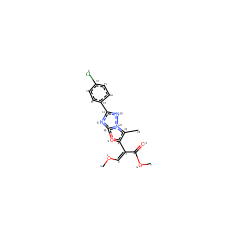 CO/C=C(/C(=O)OC)c1oc2nc(-c3ccc(Cl)cc3)nn2c1C